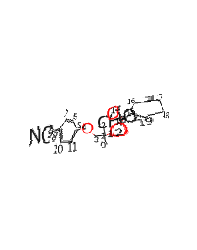 CC(C=O)(COc1ccc(C#N)cc1)OC(=O)C1CCCC1